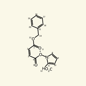 O=C(/C=C\C(=O)On1cccc1C(=O)O)OCc1ccccc1